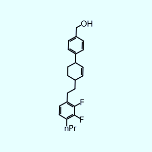 CCCc1ccc(CCC2C=CC(c3ccc(CO)cc3)CC2)c(F)c1F